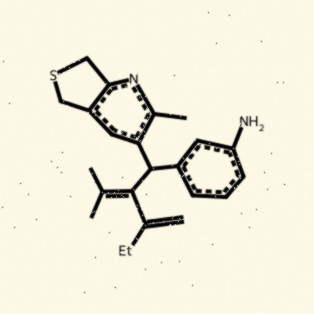 C=C(CC)C(=C(C)C)C(c1cccc(N)c1)c1cc2c(nc1C)CSC2